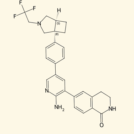 Nc1ncc(-c2ccc([C@@]34CC[C@@H]3CN(CC(F)(F)F)C4)cc2)cc1-c1ccc2c(c1)CCNC2=O